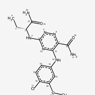 CC[C@@H](Nc1nnc(C(N)=O)c(Nc2ccc(Cl)c(OC)c2)n1)C(N)=O